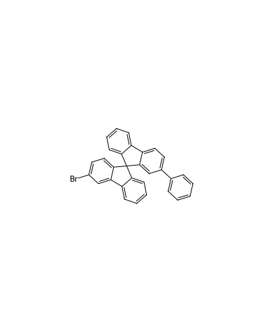 Brc1ccc2c(c1)-c1ccccc1C21c2ccccc2-c2ccc(-c3ccccc3)cc21